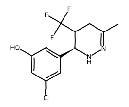 CC1=NN[C@@H](c2cc(O)cc(Cl)c2)C(C(F)(F)F)C1